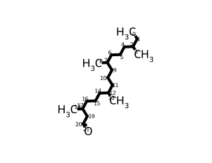 CCC(C)CCCC(C)CCCC(C)CCCC(C)C[C]=O